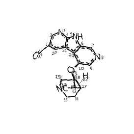 Clc1cnc2[nH]c3cncc(O[C@@H]4CN5CCC4CC5)c3c2c1